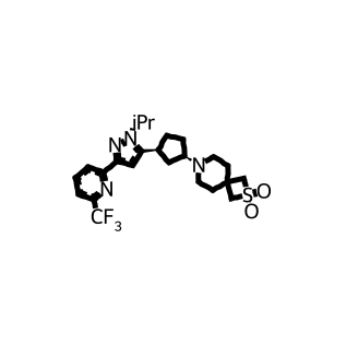 CC(C)n1nc(-c2cccc(C(F)(F)F)n2)cc1[C@H]1CC[C@H](N2CCC3(CC2)CS(=O)(=O)C3)C1